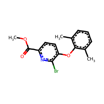 COC(=O)c1ccc(Oc2c(C)cccc2C)c(Br)n1